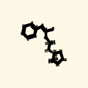 CC(=Cc1ccccc1)CNC[C@@H]1CCCN1